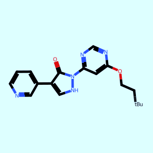 CC(C)(C)CCOc1cc(-n2[nH]cc(-c3cccnc3)c2=O)ncn1